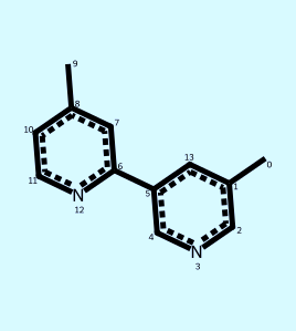 Cc1cncc(-c2cc(C)ccn2)c1